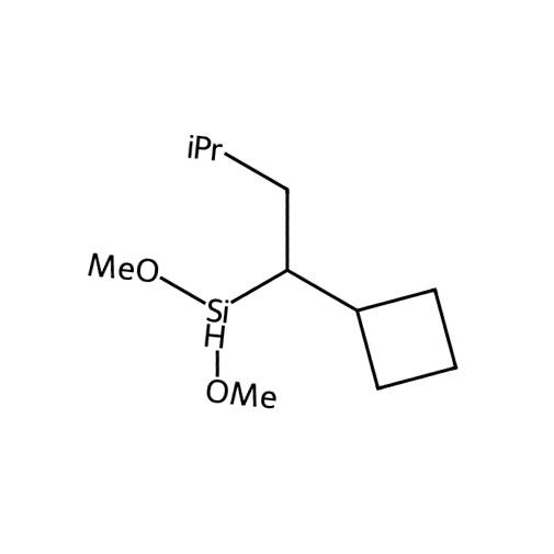 CO[SiH](OC)C(CC(C)C)C1CCC1